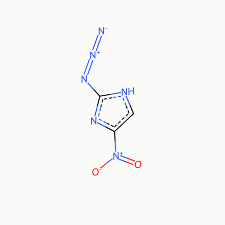 [N-]=[N+]=Nc1nc([N+](=O)[O-])c[nH]1